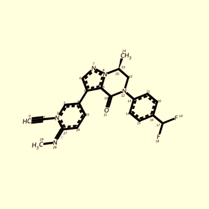 C#Cn1cc(-c2cnn3c2C(=O)N(c2ccc(C(F)F)cc2)C[C@@H]3C)cc/c1=N/C